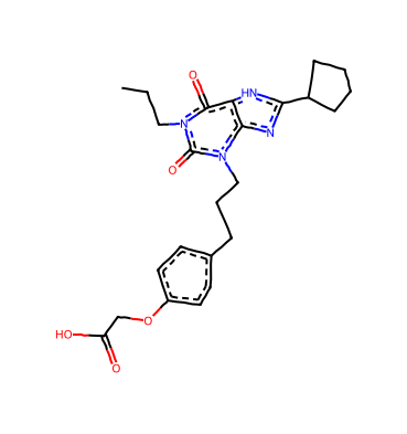 CCCn1c(=O)c2[nH]c(C3CCCC3)nc2n(CCCc2ccc(OCC(=O)O)cc2)c1=O